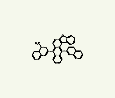 CC1CC(c2c3ccccc3c(-c3ccc4ccccc4c3)c3c2ccc2oc4ccccc4c23)=Cc2ccccc21